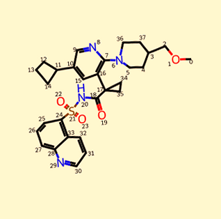 COCC1CCN(c2ncc(C3CCC3)cc2C2(C(=O)NS(=O)(=O)c3cccc4ncccc34)CC2)CC1